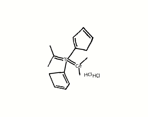 C[C](C)=[Ti]([C]1=CC=CC1)([C]1=CC=CC1)=[Ge]([CH3])[CH3].Cl.Cl